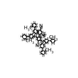 Cc1ccccc1-c1ccc2c(c1)c1cc(-c3ccccc3C)ccc1n2-c1cc(-c2ccc(C#N)cc2C(F)(F)F)c(-n2c3ccc(-c4ccccc4C)cc3c3cc(-c4ccccc4C)ccc32)cc1C#N